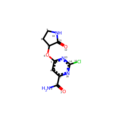 NC(=O)c1cc(OC2CCNC2=O)nc(Cl)n1